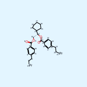 CC(C)CCc1ccc(C(=O)OC[C@@H](OC(=O)c2ccc(CCC(C)C)cc2)C2CCCCC2)cc1